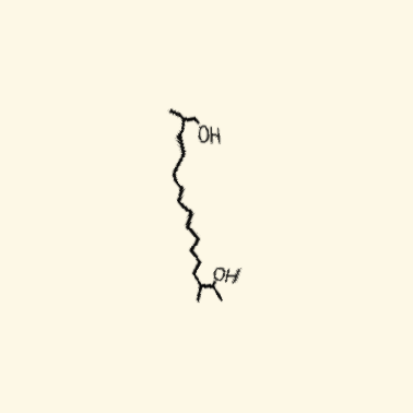 CC(CO)CCCCCCCCCCCC(C)C(C)O